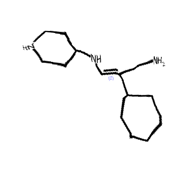 NC/C(=C\NC1CCNCC1)C1CCCCC1